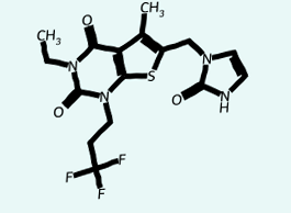 CCn1c(=O)c2c(C)c(Cn3cc[nH]c3=O)sc2n(CCC(F)(F)F)c1=O